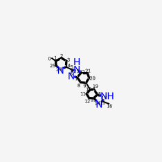 Cc1ccc(-c2nc3cc(-c4ccc5nc(C)[nH]c5c4)ccc3[nH]2)nc1